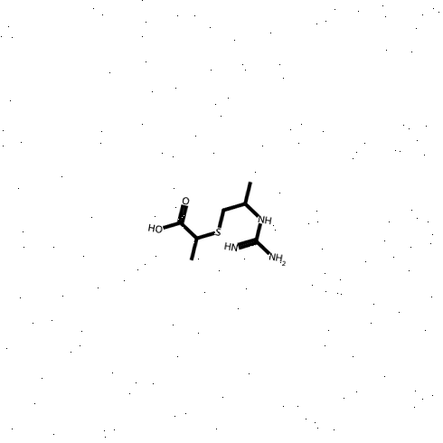 CC(CSC(C)C(=O)O)NC(=N)N